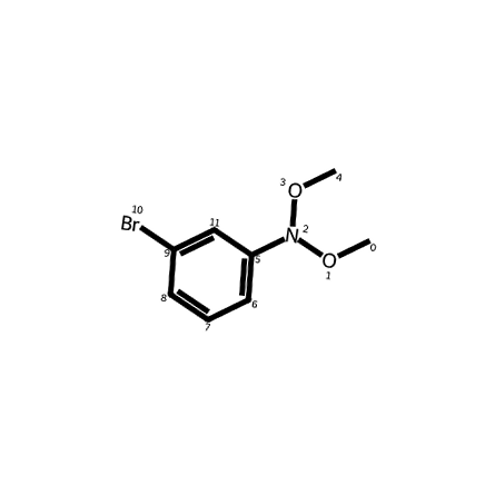 CON(OC)c1cccc(Br)c1